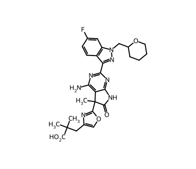 CC(C)(Cc1coc(C2(C)C(=O)Nc3nc(-c4nn(CC5CCCCO5)c5cc(F)ccc45)nc(N)c32)n1)C(=O)O